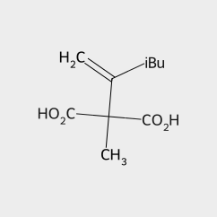 C=C(C(C)CC)C(C)(C(=O)O)C(=O)O